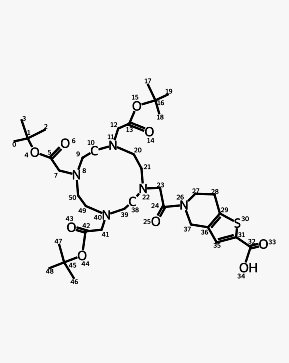 CC(C)(C)OC(=O)CN1CCN(CC(=O)OC(C)(C)C)CCN(CC(=O)N2CCc3sc(C(=O)O)cc3C2)CCN(CC(=O)OC(C)(C)C)CC1